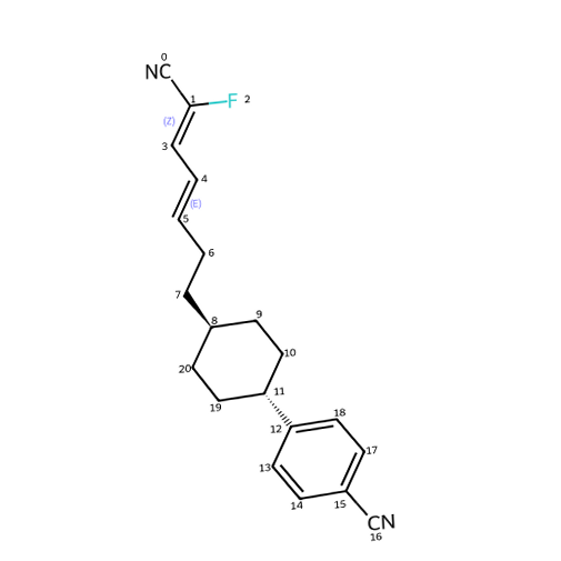 N#C/C(F)=C/C=C/CC[C@H]1CC[C@H](c2ccc(C#N)cc2)CC1